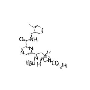 Cc1ccccc1CNC(=O)c1cncc(C2C[C@@H]3CN(C(=O)O)C[C@@H]3N2C(C)(C)C)n1